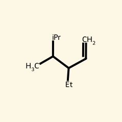 C=CC(CC)C(C)C(C)C